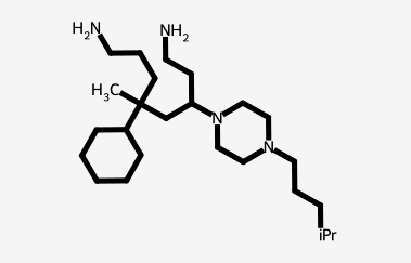 CC(C)CCCN1CCN(C(CCN)CC(C)(CCCN)C2CCCCC2)CC1